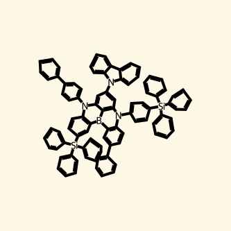 c1ccc(-c2ccc(N3c4ccc([Si](c5ccccc5)(c5ccccc5)c5ccccc5)cc4B4c5cc(-c6ccccc6)ccc5N(c5ccc([Si](c6ccccc6)(c6ccccc6)c6ccccc6)cc5)c5cc(-n6c7ccccc7c7ccccc76)cc3c54)cc2)cc1